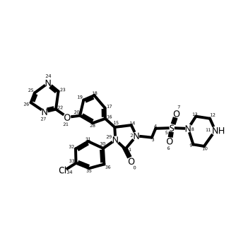 O=C1N(CCS(=O)(=O)N2CCNCC2)CC(c2cccc(Oc3cnccn3)c2)N1c1ccc(Cl)cc1